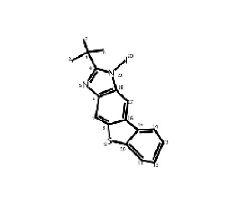 CC(C)(C)c1nc2cc3sc4ccccc4c3cc2n1I